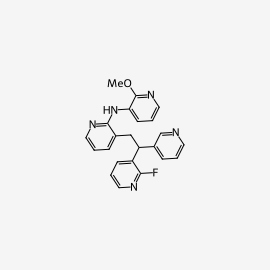 COc1ncccc1Nc1ncccc1CC(c1cccnc1)c1cccnc1F